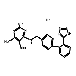 CCCCc1c(C)nc(C(F)(F)F)nc1NCc1ccc(-c2ccccc2-c2nnn[nH]2)cc1.[Na]